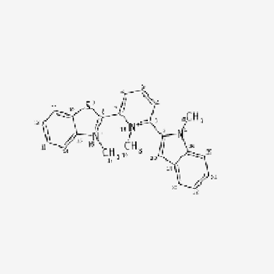 Cn1c(-c2cccc(-c3sc4ccccc4[n+]3C)[n+]2C)cc2ccccc21